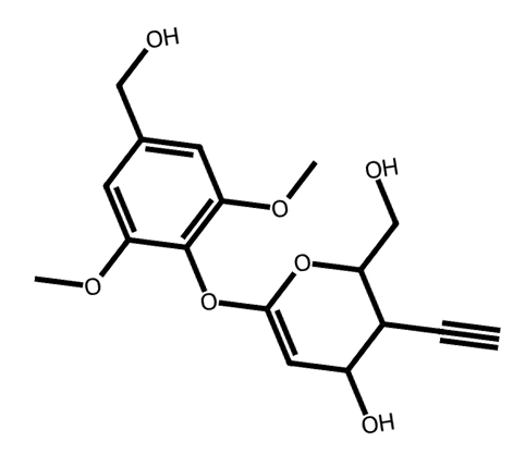 C#CC1C(O)C=C(Oc2c(OC)cc(CO)cc2OC)OC1CO